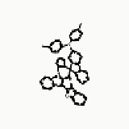 Cc1ccc(N(c2ccc(C)cc2)c2ccc3c(c2)C2(c4ccccc4-3)c3ccccc3-n3c4ccccc4c4c5oc6ccccc6c5cc2c43)cc1